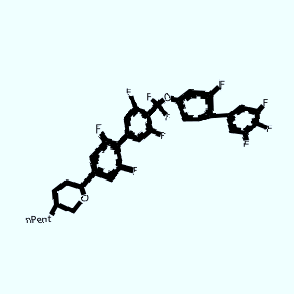 CCCCCC1CCC(c2cc(F)c(-c3cc(F)c(C(F)(F)Oc4ccc(-c5cc(F)c(F)c(F)c5)c(F)c4)c(F)c3)c(F)c2)OC1